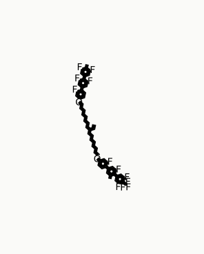 C=CC(CCCCCCCCOc1ccc(-c2cc(C)c(-c3cc(F)c(C(F)(F)F)c(F)c3)c(F)c2)c(F)c1)CCCCCCCCOc1ccc(-c2cc(F)c(-c3cc(F)c(C)c(F)c3)c(F)c2)c(F)c1